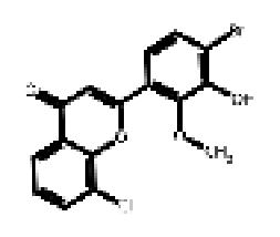 COc1c(-c2cc(=O)c3cccc(Cl)c3o2)ccc(Br)c1O